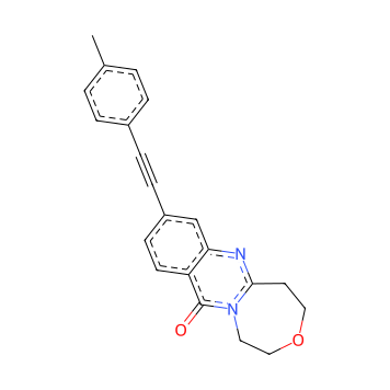 Cc1ccc(C#Cc2ccc3c(=O)n4c(nc3c2)CCOCC4)cc1